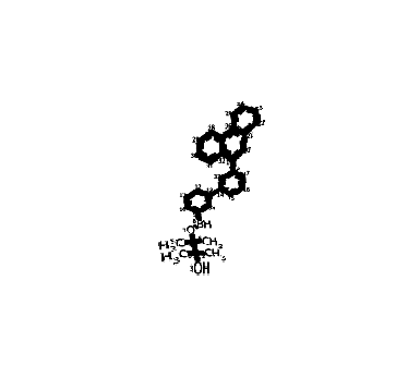 CC(C)(O)C(C)(C)OBc1cccc(-c2cccc(-c3cc4ccccc4c4ccccc34)c2)c1